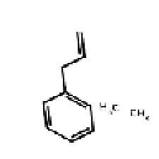 C.C.C=CCc1ccccc1